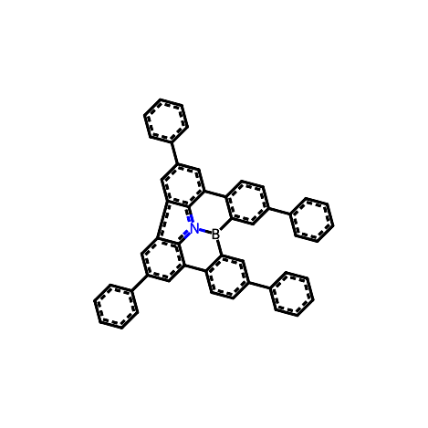 c1ccc(-c2ccc3c(c2)B2c4cc(-c5ccccc5)ccc4-c4cc(-c5ccccc5)cc5c6cc(-c7ccccc7)cc-3c6n2c45)cc1